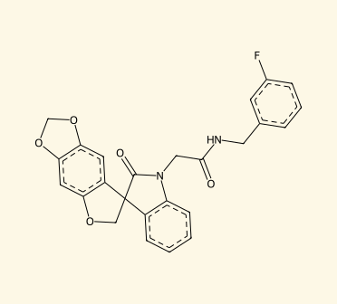 O=C(CN1C(=O)C2(COc3cc4c(cc32)OCO4)c2ccccc21)NCc1cccc(F)c1